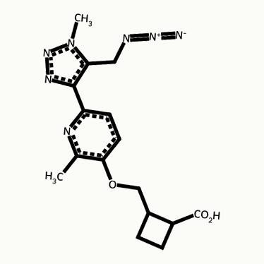 Cc1nc(-c2nnn(C)c2CN=[N+]=[N-])ccc1OCC1CCC1C(=O)O